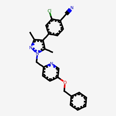 Cc1nn(Cc2ccc(OCc3ccccc3)cn2)c(C)c1-c1ccc(C#N)c(Cl)c1